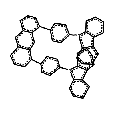 c1cc(-c2ccc(-n3c4ccccc4c4ccccc43)cc2)c2cc3c(-c4ccc(-n5c6ccccc6c6ccccc65)cc4)cccc3cc2c1